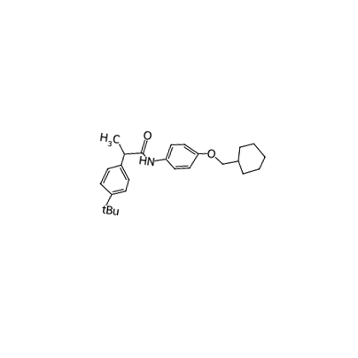 CC(C(=O)Nc1ccc(OCC2CCCCC2)cc1)c1ccc(C(C)(C)C)cc1